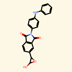 O=C1c2ccc(C3OC3O)cc2C(=O)N1c1ccc(Nc2ccccc2)cc1